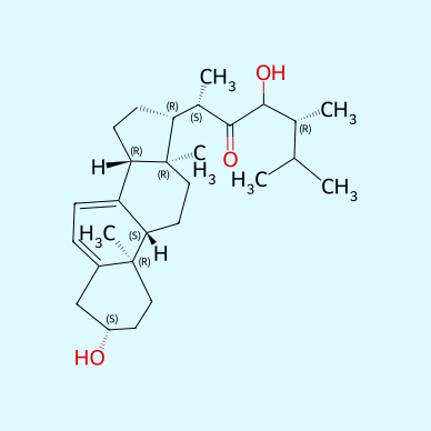 CC(C)[C@@H](C)C(O)C(=O)[C@@H](C)[C@H]1CC[C@H]2C3=CC=C4C[C@@H](O)CC[C@]4(C)[C@H]3CC[C@]12C